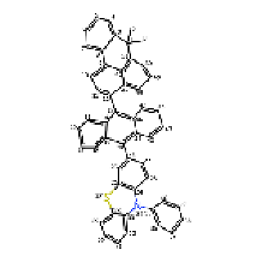 CC1(C)c2ccccc2-c2ccc(-c3c4ccccc4c(-c4ccc5c(c4)Sc4ccccc4N5c4ccccc4)c4ccccc34)c3cccc1c23